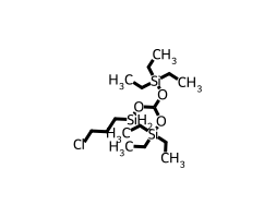 CC[Si](CC)(CC)OC(O[SiH2]CCCCl)O[Si](CC)(CC)CC